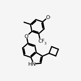 Cc1cc([O])cc(C(F)(F)F)c1Oc1ccc2[nH]cc(C3CCC3)c2c1